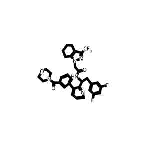 O=C(Cn1nc(C(F)(F)F)c2c1CCCC2)NC(Cc1cc(F)cc(F)c1)c1ncccc1-c1cccc(C(=O)N2CCOCC2)c1